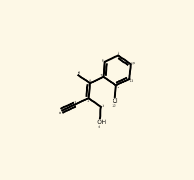 C#CC(CO)=C(C)c1ccccc1Cl